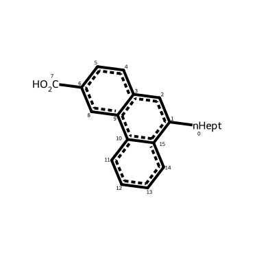 CCCCCCCc1cc2ccc(C(=O)O)cc2c2ccccc12